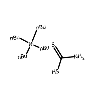 CCC[CH2][Ni]([CH2]CCC)([CH2]CCC)[CH2]CCC.NC(=S)S